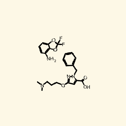 CN(C)CCCOc1cc(C(=O)O)n(Cc2ccccc2)n1.Nc1cccc2c1OC(F)(F)O2